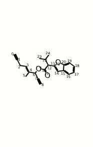 C#CCC=C(C)C(C#C)OC(=O)C(c1cc2ccccc2o1)C(C)C